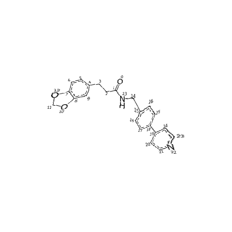 O=C(CCc1ccc2c(c1)OCO2)NCc1ccc(-c2ccncc2)cc1